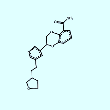 NC(=O)c1cccc2c1OCC(c1cncc(CC[C@@H]3CCOC3)c1)O2